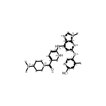 Cc1cc(C#N)ncc1Oc1cc(NC2=CC=C(C(=O)N3CCC(N(C)C)CC3)CN2)c2ncn(C)c2n1